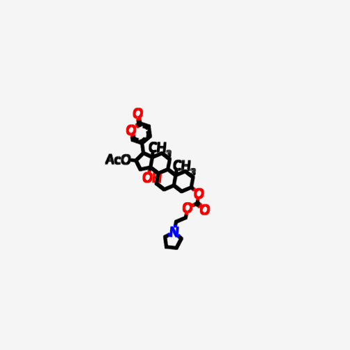 CC(=O)OC1CC2(O)C3CCC4CC(OC(=O)OCCN5CCCC5)CCC4(C)C3CCC2(C)C1c1ccc(=O)oc1